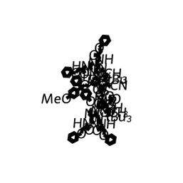 COc1ccc(C(OC[C@H]2O[C@@H](n3cnc4c(NC(=O)COc5ccccc5)nc(NC(=O)COc5ccccc5)nc43)[C@H](O[Si](C)(C)C(C)(C)C)[C@@H]2OP(=S)(OCCC#N)OC[C@H]2O[C@@H](n3cnc4c(NC(=O)COc5ccccc5)nc(NC(=O)COc5ccccc5)nc43)[C@H](O[Si](C)(C)C(C)(C)C)[C@@H]2O[PH](=O)O)(c2ccccc2)c2ccc(OC)cc2)cc1